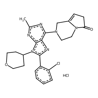 Cc1nc(N2CCN3C(=O)CC=C3C2)c2nc(-c3ccccc3Cl)n(C3CCOCC3)c2n1.Cl